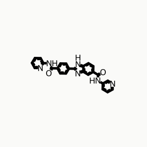 O=C(Nc1cccnc1)c1ccc2[nH]c(-c3ccc(C(=O)Nc4ccccn4)cc3)nc2c1